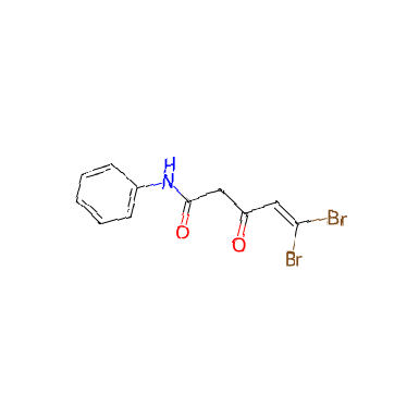 O=C(C=C(Br)Br)CC(=O)Nc1ccccc1